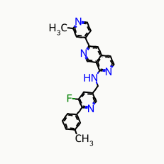 Cc1cccc(-c2ncc(CNc3nccc4cc(-c5ccnc(C)c5)ncc34)cc2F)c1